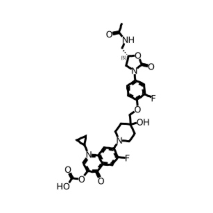 CC(=O)NC[C@H]1CN(c2ccc(OCC3(O)CCN(c4cc5c(cc4F)c(=O)c(OC(=O)O)cn5C4CC4)CC3)c(F)c2)C(=O)O1